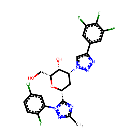 Cc1nc([C@H]2C[C@@H](n3cc(-c4cc(F)c(F)c(F)c4)nn3)[C@@H](O)[C@@H](CO)O2)n(-c2cc(Cl)ccc2F)n1